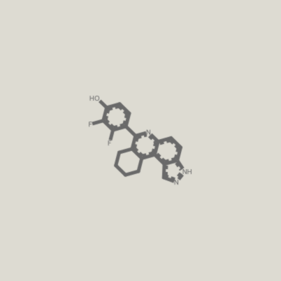 Oc1ccc(-c2nc3ccc4[nH]ncc4c3c3c2CCCC3)c(F)c1F